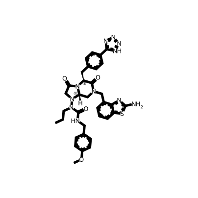 CCCN(C(=O)NCc1ccc(OC)cc1)N1CC(=O)N2[C@@H](Cc3ccc(-c4nnn[nH]4)cc3)C(=O)N(Cc3cccc4sc(N)nc34)C[C@@H]21